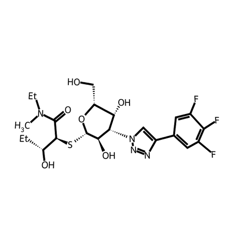 CC[C@@H](O)[C@H](S[C@@H]1O[C@H](CO)[C@H](O)[C@H](n2cc(-c3cc(F)c(F)c(F)c3)nn2)[C@H]1O)C(=O)N(C)CC